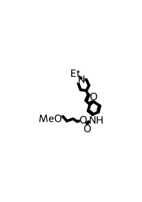 CCN1CCC(c2cc3cc(NC(=O)OCCCCOC)ccc3o2)CC1